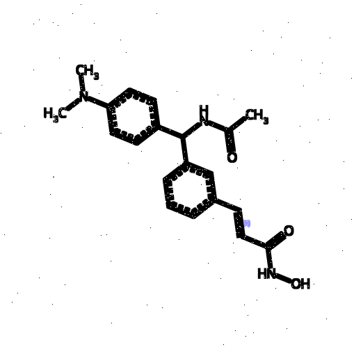 CC(=O)NC(c1ccc(N(C)C)cc1)c1cccc(/C=C/C(=O)NO)c1